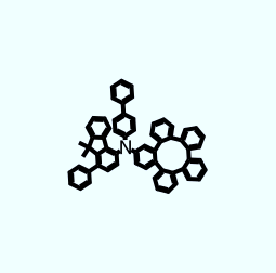 CC1(C)c2ccccc2-c2c(N(c3ccc(-c4ccccc4)cc3)c3ccc4c5ccccc5c5ccccc5c5ccccc5c5ccccc5c4c3)ccc(-c3ccccc3)c21